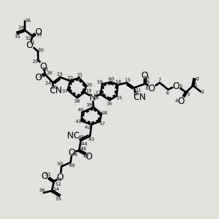 C=C(C)C(=O)OCCOC(=O)/C(C#N)=C/c1ccc(N(c2ccc(/C=C(\C#N)C(=O)OCCOC(=O)C(=C)C)cc2)c2ccc(/C=C(\C#N)C(=O)OCCOC(=O)C(=C)C)cc2)cc1